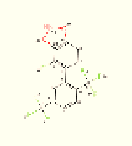 Fc1c(-c2cc(C(F)(F)F)ccc2C(F)(F)F)ccc2c1OBO2